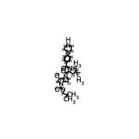 CC(C)COC(=O)N1CC(=O)C2C1CCN2C(=O)C(CC(C)C)NC(=O)c1ccc(N2CCNCC2)cc1